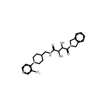 O=C(NCC1CCN(c2ccncc2C(F)(F)F)CC1)C(O)C(O)C(=O)N1Cc2ccccc2C1